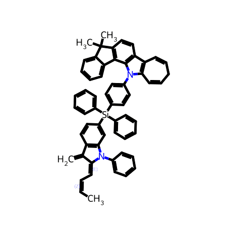 C=c1/c(=C\C=C/C)n(-c2ccccc2)c2cc([Si](c3ccccc3)(c3ccccc3)c3ccc(-n4c5c(c6ccc7c(c64)-c4ccccc4C7(C)C)C=CCC=C5)cc3)ccc12